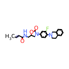 C/C=C/C(=O)NCC1CN(c2ccc(N3CCc4ccccc4C3)c(F)c2)C(=O)O1